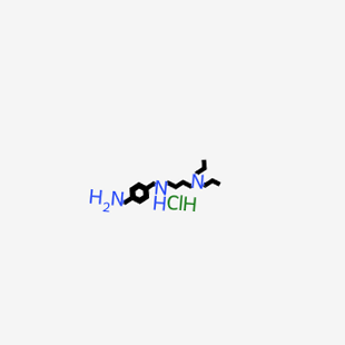 CCCN(CCC)CCCCNCc1ccc(CN)cc1.Cl